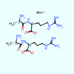 C[C@H](N)C(=O)N[C@@H](CCCNC(=N)N)C(=O)[O-].C[C@H](N)C(=O)N[C@@H](CCCNC(=N)N)C(=O)[O-].[Mn+2]